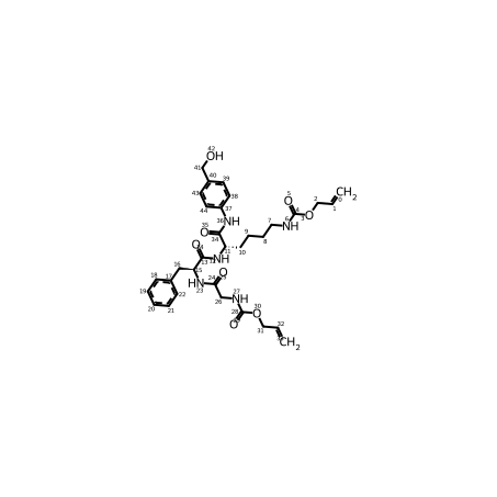 C=CCOC(=O)NCCCC[C@H](NC(=O)[C@H](Cc1ccccc1)NC(=O)CNC(=O)OCC=C)C(=O)Nc1ccc(CO)cc1